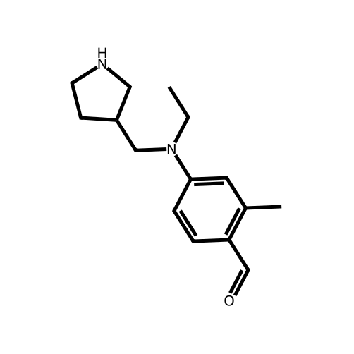 CCN(CC1CCNC1)c1ccc(C=O)c(C)c1